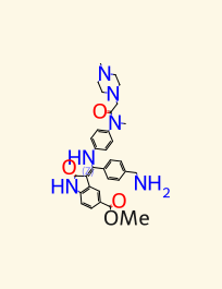 COC(=O)c1ccc2c(c1)/C(=C(/Nc1ccc(N(C)C(=O)CN3CCN(C)CC3)cc1)c1ccc(CN)cc1)C(=O)N2